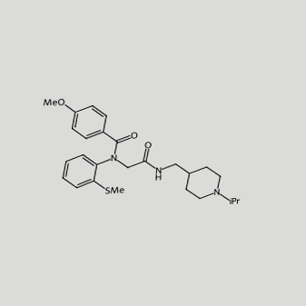 COc1ccc(C(=O)N(CC(=O)NCC2CCN(C(C)C)CC2)c2ccccc2SC)cc1